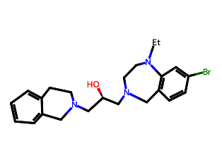 CCN1CCN(C[C@H](O)CN2CCc3ccccc3C2)Cc2ccc(Br)cc21